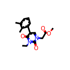 CCn1c(=O)c(-c2cccc(C)c2C)cn(CC(=O)OC)c1=O